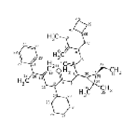 C=C(CC)C(CC(=C)C(CC(=O)C(CC(=C)C(C)c1ccccc1)C1CCCCC1)C1[C@@H](CC)C1(C)C)CC1CCC1